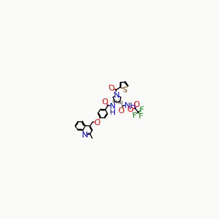 Cc1cc(COc2ccc(C(=O)N[C@@H]3CN(C(=O)c4cccs4)C[C@@H]3C(=O)NOC(=O)C(F)(F)F)cc2)c2ccccc2n1